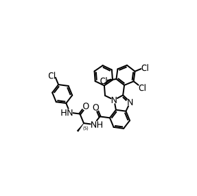 C[C@H](NC(=O)c1cccc2nc(-c3c(Cl)ccc(Cl)c3Cl)n(Cc3ccccc3)c12)C(=O)Nc1ccc(Cl)cc1